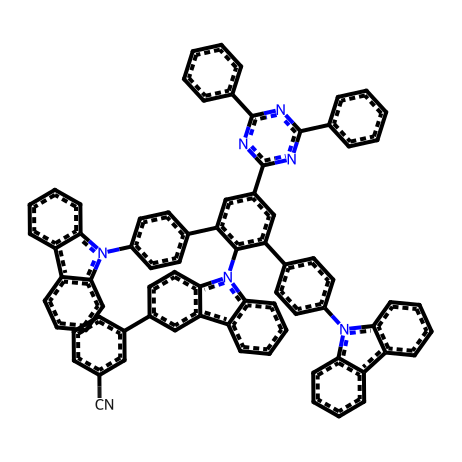 N#Cc1cccc(-c2ccc3c(c2)c2ccccc2n3-c2c(-c3ccc(-n4c5ccccc5c5ccccc54)cc3)cc(-c3nc(-c4ccccc4)nc(-c4ccccc4)n3)cc2-c2ccc(-n3c4ccccc4c4ccccc43)cc2)c1